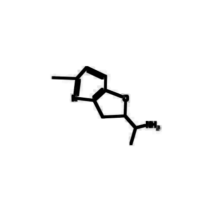 Cc1ccc2c(n1)CC(C(C)N)O2